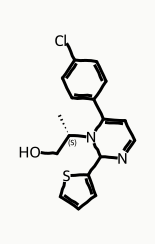 C[C@@H](CO)N1C(c2ccc(Cl)cc2)=CC=NC1c1cccs1